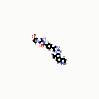 CO[C@@H]1CCN(C(=O)C(C)NC(=O)c2ccc(-c3cnc4ncc(C5(c6ccc7ncccc7c6)CC5)n4c3)cc2F)C1